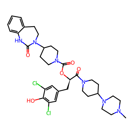 CN1CCN(C2CCN(C(=O)[C@@H](Cc3cc(Cl)c(O)c(Cl)c3)OC(=O)N3CCC(N4CCc5ccccc5NC4=O)CC3)CC2)CC1